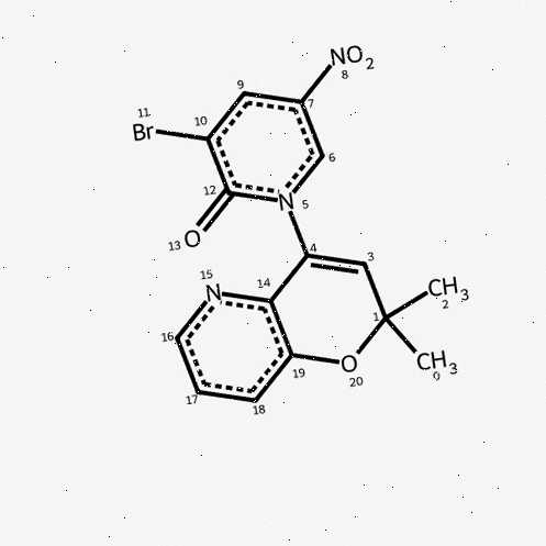 CC1(C)C=C(n2cc([N+](=O)[O-])cc(Br)c2=O)c2ncccc2O1